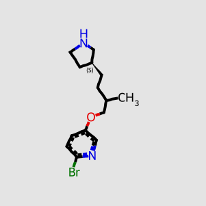 CC(CC[C@H]1CCNC1)COc1ccc(Br)nc1